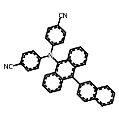 N#Cc1ccc(N(c2ccc(C#N)cc2)c2c3ccccc3c(-c3ccc4ccccc4c3)c3ccccc23)cc1